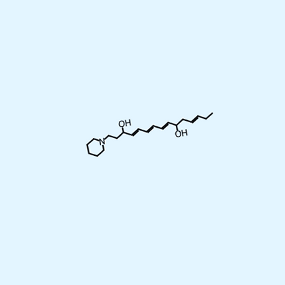 CCC=CCC(O)C=CC=CC=CC(O)CCN1CCCCC1